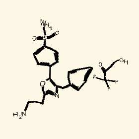 NCCc1nc(-c2ccccc2)c(-c2ccc(S(N)(=O)=O)cc2)o1.O=C(O)C(F)(F)F